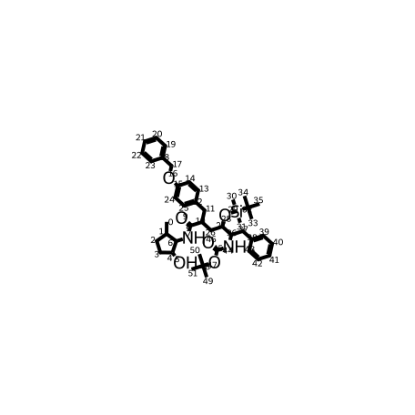 CC1CCC(O)C1NC(=O)C(Cc1ccc(OCc2ccccc2)cc1)CC(O[Si](C)(C)C(C)(C)C)C(Cc1ccccc1)NC(=O)OC(C)(C)C